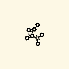 c1ccc(-c2ccc3c(c2)c2ccccc2n3-c2cc(-c3nc(-c4ccccc4)nc(-c4ccccc4)n3)cc3c2sc2ccccc23)cc1